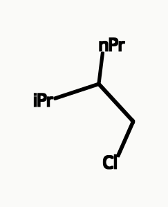 CCCC(CCl)C(C)C